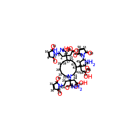 NC(=O)C(CCN1C(=O)C=CC1=O)(CC(=O)O)C1CCCCCN(C(CCN2C(=O)C=CC2=O)(CC(=O)O)C(N)=O)CCC(C(CCN2C(=O)C=CC2=O)(CC(=O)O)C(N)=O)CC1